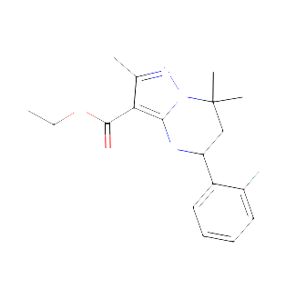 CCOC(=O)c1c(C)nn2c1NC(c1ccccc1Cl)CC2(C)C